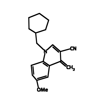 C=C1C(C#N)=CN(CC2CCCCC2)c2ccc(OC)cc21